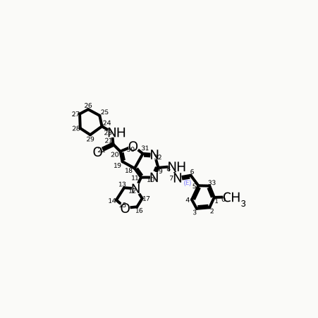 Cc1cccc(/C=N/Nc2nc(N3CCOCC3)c3cc(C(=O)NC4CCCCC4)oc3n2)c1